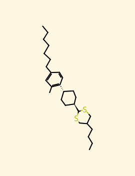 CCCCCCCc1ccc([C@H]2CC[C@H](C3SCC(CCCC)CS3)CC2)c(C)c1